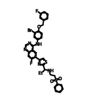 CCC(NCCS(=O)(=O)c1ccccc1)c1nc(-c2cc3c(Nc4ccc(OCc5cccc(F)c5)c(Br)c4)ncnc3cc2F)cs1